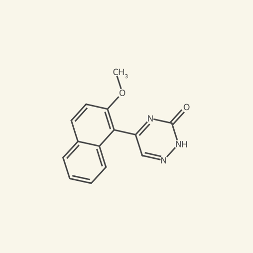 COc1ccc2ccccc2c1-c1cn[nH]c(=O)n1